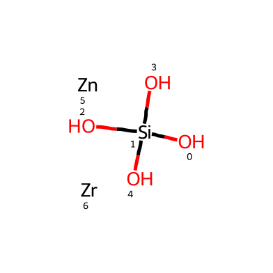 O[Si](O)(O)O.[Zn].[Zr]